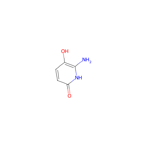 Nc1[nH]c(=O)ccc1O